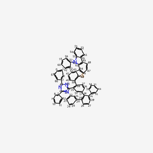 c1ccc(-c2nc(-c3ccccc3)nc(-c3cc(-c4c(-c5ccccc5)cccc4-c4ccccc4)ccc3-c3cccc4c3sc3ccc5c6ccccc6n(-c6ccccc6)c5c34)n2)cc1